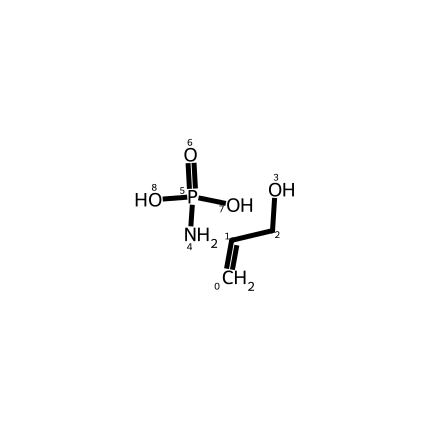 C=CCO.NP(=O)(O)O